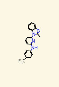 Cc1nc2ccccc2n1-c1cccc(Nc2ccc(C(F)(F)F)cc2)n1